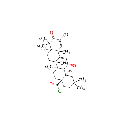 CC1(C)CC[C@]2(C(=O)Cl)CC[C@]3(C)C(C(=O)C=C4[C@@]5(C)C=C(C#N)C(=O)C(C)(C)[C@@H]5CC[C@]43C)[C@H]2C1